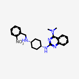 CN(C)c1nc(N[C@H]2CC[C@@H](NCc3ccccc3[N+](=O)[O-])CC2)nc2ccccc12